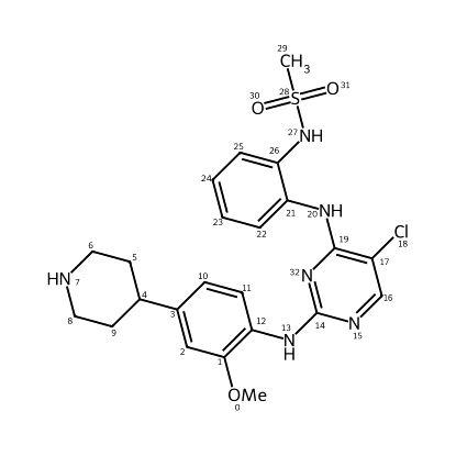 COc1cc(C2CCNCC2)ccc1Nc1ncc(Cl)c(Nc2ccccc2NS(C)(=O)=O)n1